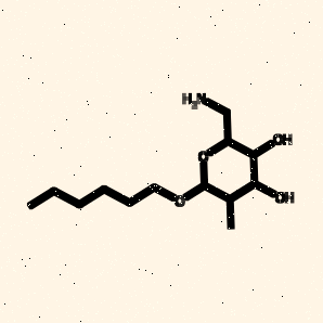 CCCCCCOC1OC(CN)C(O)C(O)C1C